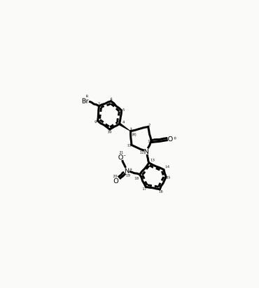 O=C1C[C@H](c2ccc(Br)cc2)CN1c1ccccc1[N+](=O)[O-]